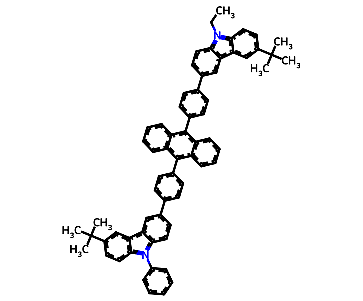 CCn1c2ccc(-c3ccc(-c4c5ccccc5c(-c5ccc(-c6ccc7c(c6)c6cc(C(C)(C)C)ccc6n7-c6ccccc6)cc5)c5ccccc45)cc3)cc2c2cc(C(C)(C)C)ccc21